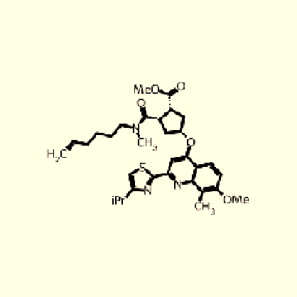 C=CCCCCN(C)C(=O)[C@@H]1C[C@H](OC2=CC(c3nc(C(C)C)cs3)=NC3C(C)=C(OC)C=CC23)C[C@H]1C(=O)OC